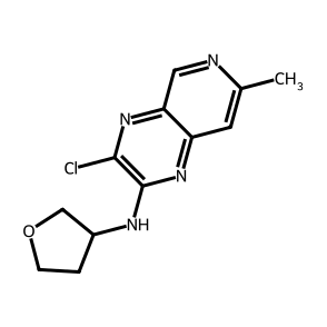 Cc1cc2nc(NC3CCOC3)c(Cl)nc2cn1